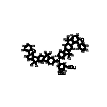 CC(C)(C)c1cc(N(c2ccc3c(c2)C(C)(C)c2cc4c(cc2-3)C(C)(C)c2ccc3c(oc5ccccc53)c2-4)c2ccc3c(c2)C(C)(C)c2cc4c(cc2-3)C(C)(C)c2ccc3oc5ccccc5c3c2-4)cc(C(C)(C)C)c1